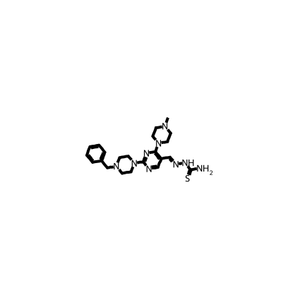 CN1CCN(c2nc(N3CCN(Cc4ccccc4)CC3)ncc2/C=N/NC(N)=S)CC1